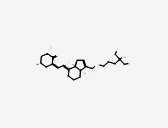 C=C1C(=CC=C2CCC[C@]3(C)C(CSCCCC(O)(CC)CC)=CC[C@@H]23)C[C@@H](O)C[C@@H]1O